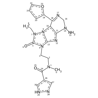 CN(CCn1c(=O)n(C)n2c3c(nc12)N(N)CN=C3c1ccco1)C(=O)c1cn[nH]c1